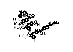 CC1=C(CC(=O)O)c2cc(F)ccc2/C1=C\c1ccc([S+](C)[O-])cc1.CC1=C(CC(=O)O)c2cc(F)ccc2/C1=C\c1ccc([S+](C)[O-])cc1.COc1ccc2cc(CCC(C)=O)ccc2c1.COc1ccc2cc(CCC(C)=O)ccc2c1.Cc1ccc(C(=O)c2ccc(CC(=O)[O-])n2C)cc1.O.O.[Na+]